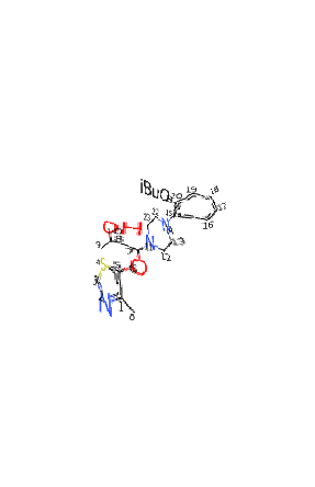 Cc1ncsc1OC(C(C)O)N1CCN(c2ccccc2OCC(C)C)CC1